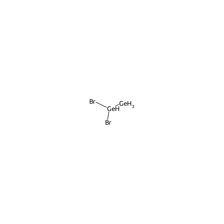 [GeH3][GeH]([Br])[Br]